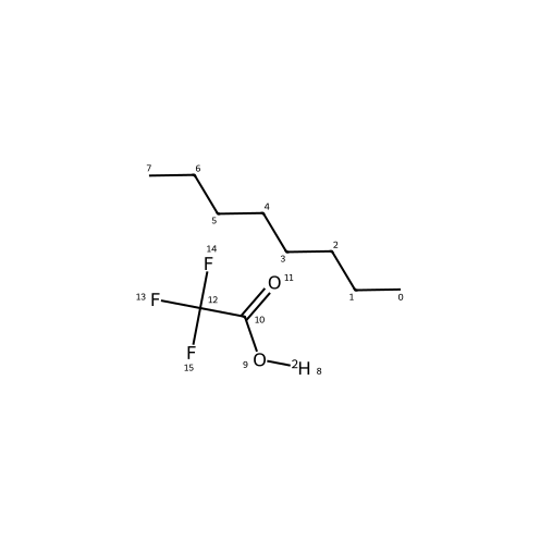 CCCCCCCC.[2H]OC(=O)C(F)(F)F